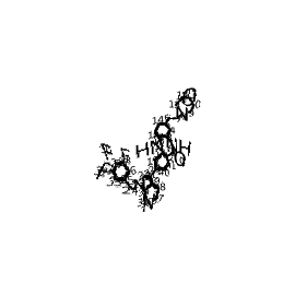 O=C1Nc2cc(CCN3CCOCC3)ccc2Nc2cc(-c3cn(Cc4cc(F)c(F)c(F)c4)c4cnccc34)ccc21